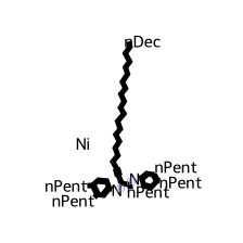 CCCCCCCCCCCCCCCCCCCCCCCCCCCCC#CC(=N\c1ccc(CCCCC)c(CCCCC)c1)/C(CCCCC)=N/c1ccc(CCCCC)c(CCCCC)c1.[Ni]